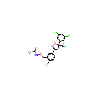 CC(=O)NOCc1cc(C2=NOC(c3cc(Cl)cc(Cl)c3)(C(F)(F)F)C2)ccc1C